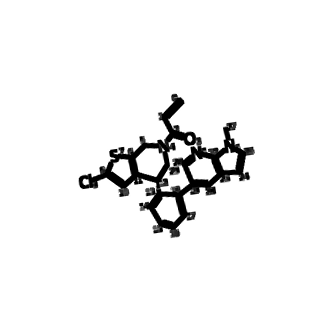 C=CC(=O)N1Cc2sc(Cl)cc2[C@@H](c2ccccc2-c2cnc3c(ccn3C)c2)C1